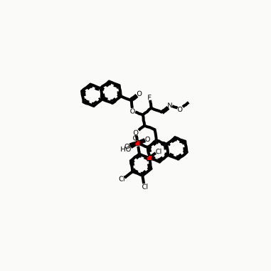 CON=CC(F)C(OC(=O)c1ccc2ccccc2c1)C(Cc1c(C(=O)O)ccc2ccccc12)OS(=O)(=O)c1cc(Cl)c(Cl)cc1Cl